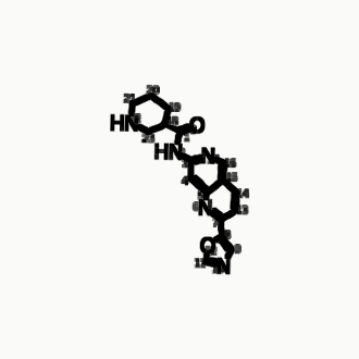 O=C(Nc1cc2nc(-c3cnco3)ccc2cn1)[C@@H]1CCCNC1